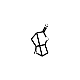 O=C1OC2CC3OC2CC13